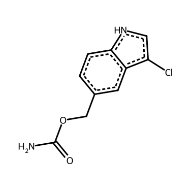 NC(=O)OCc1ccc2[nH]cc(Cl)c2c1